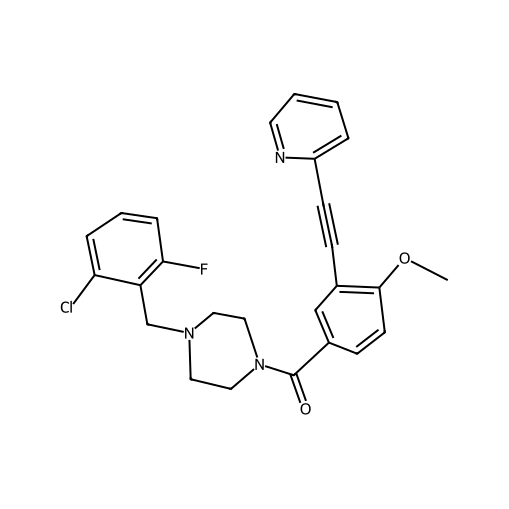 COc1ccc(C(=O)N2CCN(Cc3c(F)cccc3Cl)CC2)cc1C#Cc1ccccn1